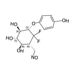 O=NC[C@@H]1[C@@H](O)[C@H](O)[C@@H](O)[C@H](Oc2ccc(O)cc2)C1(F)F